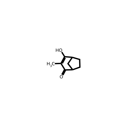 CC1=C(O)C2CCC(C2)C1=O